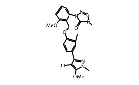 COc1cccc(-n2nnn(C)c2=O)c1COc1ccc(-c2nn(C)c(OC)c2Cl)cc1C